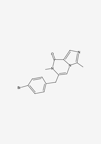 Cc1ncc2c(=O)n(C)c(Cc3ccc(Br)cc3)cn12